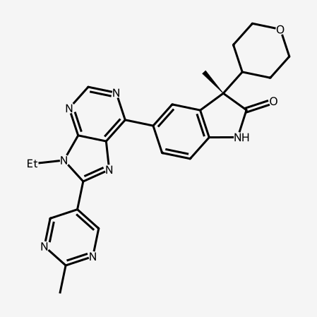 CCn1c(-c2cnc(C)nc2)nc2c(-c3ccc4c(c3)[C@](C)(C3CCOCC3)C(=O)N4)ncnc21